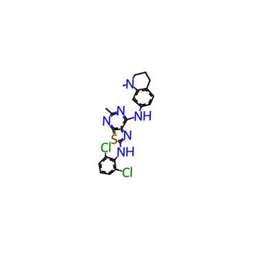 Cc1nc(Nc2ccc3c(c2)N(C)CCC3)c2nc(Nc3c(Cl)cccc3Cl)sc2n1